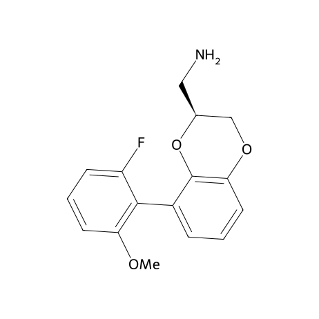 COc1cccc(F)c1-c1cccc2c1O[C@@H](CN)CO2